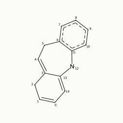 C1=CCC2=CCc3ccccc3[N]C2=C1